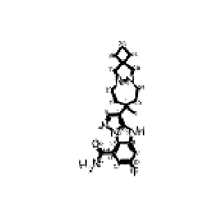 CC1(c2cnn3c2[nH]c2cc(F)cc(C(N)=O)c23)CCN2CC3(CCC3)CN2CC1